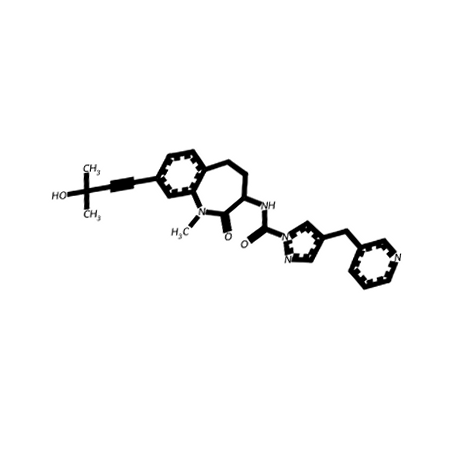 CN1C(=O)C(NC(=O)n2cc(Cc3cccnc3)cn2)CCc2ccc(C#CC(C)(C)O)cc21